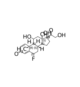 C[C@]12C=CC(=O)C=C1[C@@H](F)C[C@@H]1[C@@H]2C(O)C[C@@]2(C)[C@H]1CC[C@]2(O)C(=O)CO